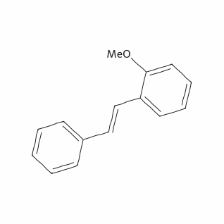 COc1ccccc1C=Cc1ccccc1